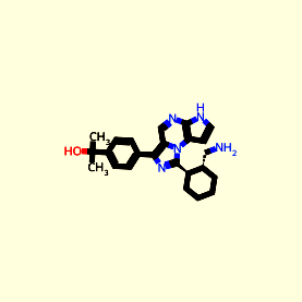 CC(C)(O)c1ccc(-c2nc([C@@H]3CCCC[C@H]3CN)n3c2cnc2[nH]ccc23)cc1